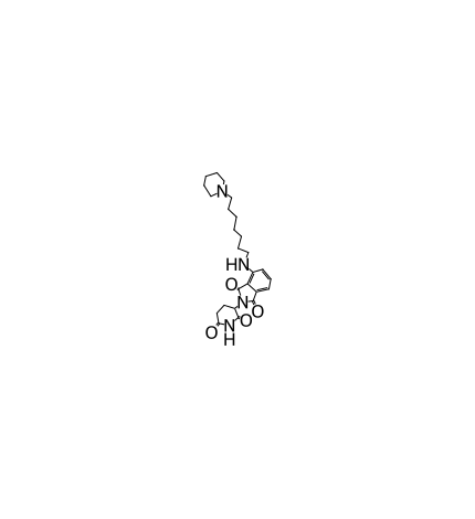 O=C1CCC(N2C(=O)c3cccc(NCCCCCCCN4CCCCC4)c3C2=O)C(=O)N1